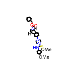 COc1ccc(NC(=S)N2CCN(c3ccc4c(c3)[C@@H]3CCN(C(=O)OCc5ccccc5)[C@H]4C3)CC2)c(OC)c1